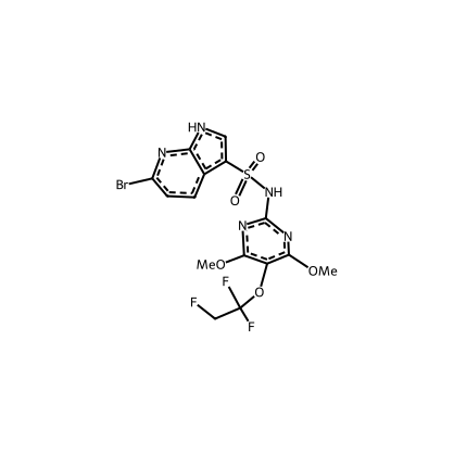 COc1nc(NS(=O)(=O)c2c[nH]c3nc(Br)ccc23)nc(OC)c1OC(F)(F)CF